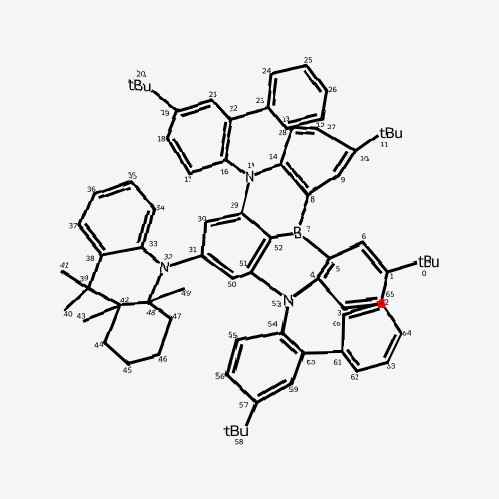 CC(C)(C)c1ccc2c(c1)B1c3cc(C(C)(C)C)ccc3N(c3ccc(C(C)(C)C)cc3-c3ccccc3)c3cc(N4c5ccccc5C(C)(C)C5(C)CCCCC45C)cc(c31)N2c1ccc(C(C)(C)C)cc1-c1ccccc1